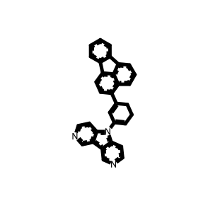 C1=C(c2ccc3c4c(cccc24)-c2ccccc2-3)CCC=C1n1c2ccncc2c2cnccc21